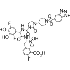 O=C(O)c1c(F)ccc2c1OB(O)[C@@H](NC(=O)[C@H](NC(=O)N1CCN(C3CCN(S(=O)(=O)c4ccc5[nH]nnc5c4)CC3)C1=O)c1cc(F)c(O)c(O)c1F)C2